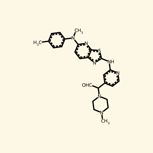 Cc1ccc(N(C)c2ccc3nc(Nc4cc(C(C=O)N5CCN(C)CC5)ccn4)sc3n2)cc1